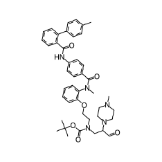 Cc1ccc(-c2ccccc2C(=O)Nc2ccc(C(=O)N(C)c3ccccc3OCCN(CC(C=O)N3CCN(C)CC3)C(=O)OC(C)(C)C)cc2)cc1